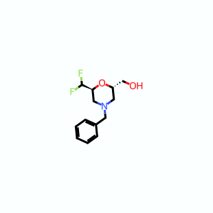 OC[C@@H]1CN(Cc2ccccc2)C[C@@H](C(F)F)O1